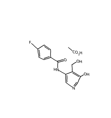 CC(=O)O.O=C(Nc1cncc(O)c1CO)c1ccc(F)cc1